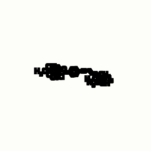 CC(C)(C)n1ncc(OCc2ccc(C#CCCCC(C)(C)[Si](C)(C)O)cc2)c(Cl)c1=O